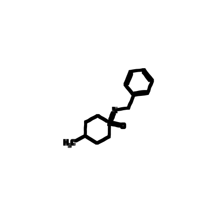 CC1CCS(=O)(=NCc2ccccc2)CC1